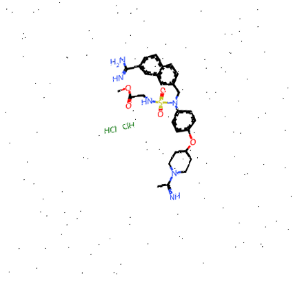 COC(=O)CNS(=O)(=O)N(Cc1ccc2ccc(C(=N)N)cc2c1)c1ccc(OC2CCN(C(C)=N)CC2)cc1.Cl.Cl